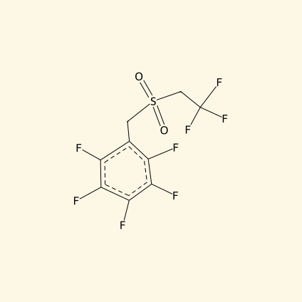 O=S(=O)(Cc1c(F)c(F)c(F)c(F)c1F)CC(F)(F)F